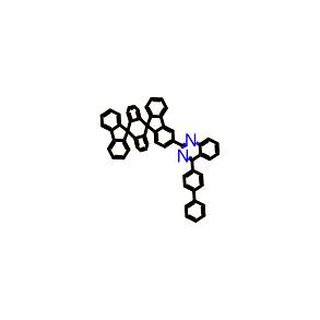 c1ccc(-c2ccc(-c3nc(-c4ccc5c(c4)-c4ccccc4C54c5ccccc5C5(c6ccccc6-c6ccccc65)c5ccccc54)nc4ccccc34)cc2)cc1